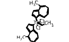 C[CH]=[Ti]([Cl])([Cl])([c]1ccc2c(C)ccccc1-2)[c]1ccc2c(C)ccccc1-2